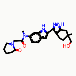 CN(C(=O)CN1CCCCC1=O)c1ccc2cc(-c3n[nH]c4c3CCC(C)(CO)C4)[nH]c2c1